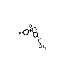 C=CCOc1ccc2c(c1)CCC(=O)N2c1ccc(F)cc1